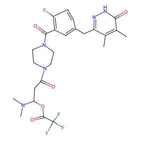 Cc1c(Cc2ccc(F)c(C(=O)N3CCN(C(=O)CC(OC(=O)C(F)(F)F)N(C)C)CC3)c2)n[nH]c(=O)c1C